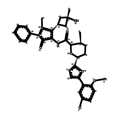 CC(C)Oc1ccc(Cl)cc1-c1nnc([C@H]2CC[C@H](C)C(C(=O)Nc3c(=O)n(-c4ccccc4)n(C)c3[C@H]3C[C@@](C)(O)C3)O2)o1